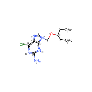 CC(=O)OCC(COC(C)=O)OCn1cnc2c(Cl)nc(N)nc21